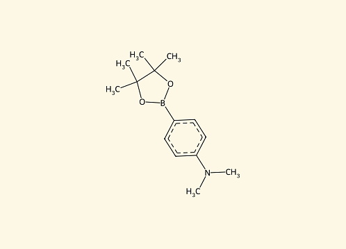 CN(C)c1ccc(B2OC(C)(C)C(C)(C)O2)cc1